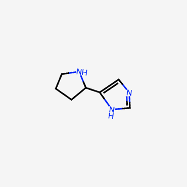 c1ncc(C2CCCN2)[nH]1